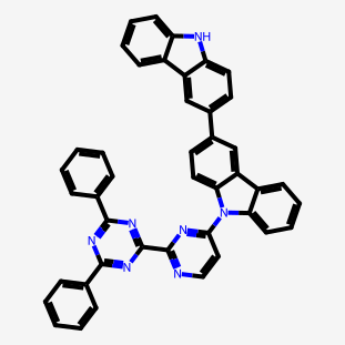 c1ccc(-c2nc(-c3ccccc3)nc(-c3nccc(-n4c5ccccc5c5cc(-c6ccc7[nH]c8ccccc8c7c6)ccc54)n3)n2)cc1